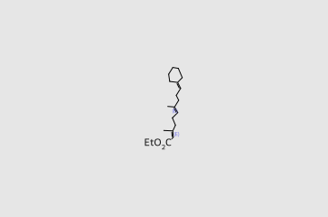 CCOC(=O)/C=C(\C)CC/C=C(\C)CCC=C1CCCCC1